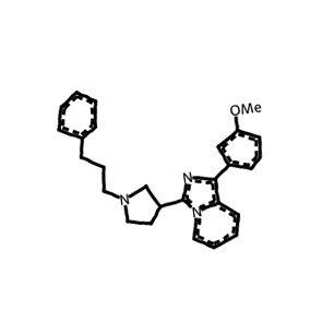 COc1cccc(-c2nc(C3CCN(CCCc4ccccc4)C3)n3ccccc23)c1